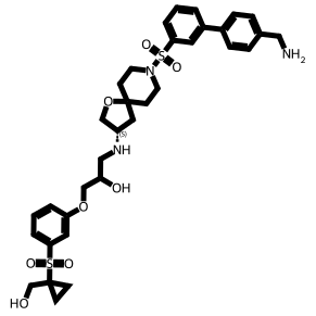 NCc1ccc(-c2cccc(S(=O)(=O)N3CCC4(CC3)C[C@H](NCC(O)COc3cccc(S(=O)(=O)C5(CO)CC5)c3)CO4)c2)cc1